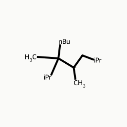 CCCCC(C)([C](C)CC(C)C)C(C)C